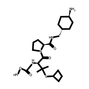 CCCOC(=O)N[C@@H](C(=O)N1CCC[C@H]1C(=O)NC[C@H]1CC[C@H](N)CC1)C(C)(C)SC1CCC1